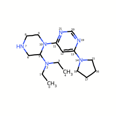 CCN(CC)C1CNCCN1c1cc(N2CCCC2)ncn1